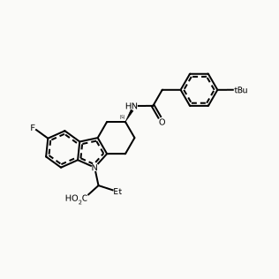 CCC(C(=O)O)n1c2c(c3cc(F)ccc31)C[C@@H](NC(=O)Cc1ccc(C(C)(C)C)cc1)CC2